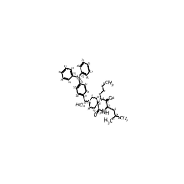 CCCCN1C(=O)C(CC(C)C)NC(=O)C12CCN(Cc1ccc(N(c3ccccc3)c3ccccc3)cc1)CC2.Cl